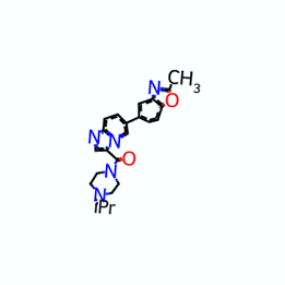 Cc1nc2cc(-c3ccc4ncc(C(=O)N5CCN(C(C)C)CC5)n4c3)ccc2o1